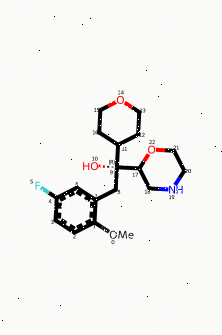 COc1ccc(F)cc1C[C@@](O)(C1CCOCC1)C1CNCCO1